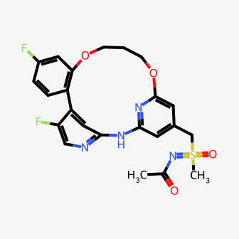 CC(=O)N=S(C)(=O)Cc1cc2nc(c1)OCCCOc1cc(F)ccc1-c1cc(ncc1F)N2